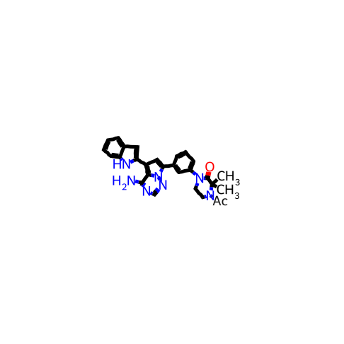 CC(=O)N1CCN(c2cccc(-c3cc(-c4cc5ccccc5[nH]4)c4c(N)ncnn34)c2)C(=O)C1(C)C